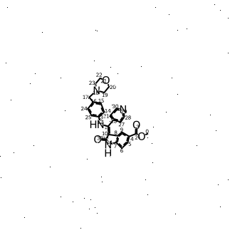 COC(=O)c1ccc2c(c1)/C(=C(/Nc1ccc(CN3CCOCC3)cc1)c1ccncc1)C(=O)N2